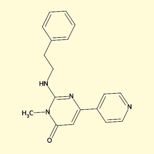 Cn1c(NCCc2ccccc2)nc(-c2ccncc2)cc1=O